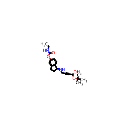 CCNC(=O)Oc1ccc2c(c1)CCC2NCC#CC(=O)OC(C)(C)C